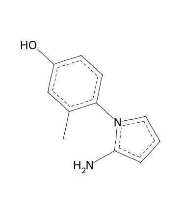 Cc1cc(O)ccc1-n1cccc1N